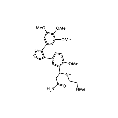 CNCCNC(CC(N)=O)c1cc(-c2cnoc2-c2cc(OC)c(OC)c(OC)c2)ccc1OC